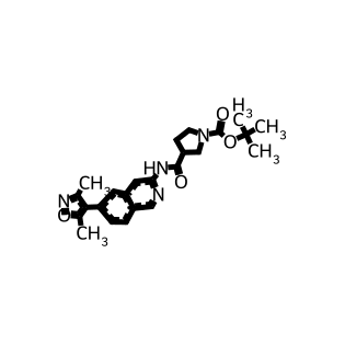 Cc1noc(C)c1-c1ccc2cnc(NC(=O)C3CCN(C(=O)OC(C)(C)C)C3)cc2c1